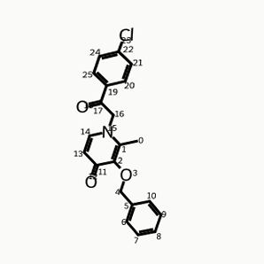 Cc1c(OCc2ccccc2)c(=O)ccn1CC(=O)c1ccc(Cl)cc1